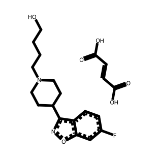 O=C(O)/C=C/C(=O)O.OCCCCN1CCC(c2noc3cc(F)ccc23)CC1